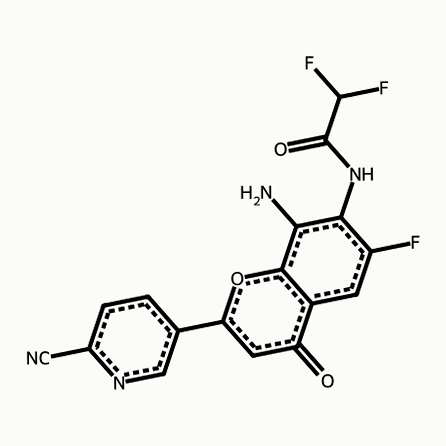 N#Cc1ccc(-c2cc(=O)c3cc(F)c(NC(=O)C(F)F)c(N)c3o2)cn1